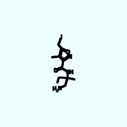 CCC(C)(CN)NC(=O)c1noc(CI)c1C